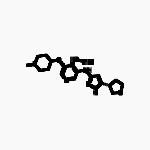 CN1CCC(Oc2cncc(Nc3cc([C@@H]4CCOC4)[nH]n3)n2)CC1.O=CO